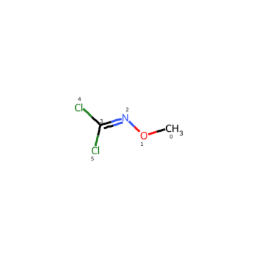 CON=C(Cl)Cl